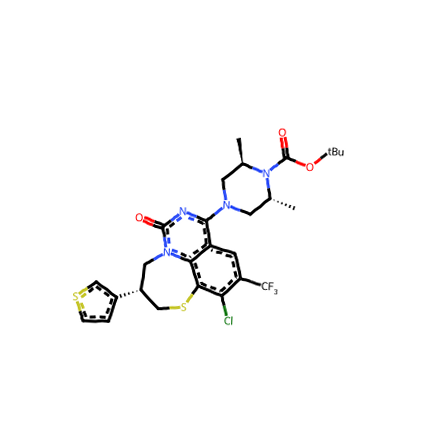 C[C@@H]1CN(c2nc(=O)n3c4c(c(Cl)c(C(F)(F)F)cc24)SC[C@H](c2ccsc2)C3)C[C@@H](C)N1C(=O)OC(C)(C)C